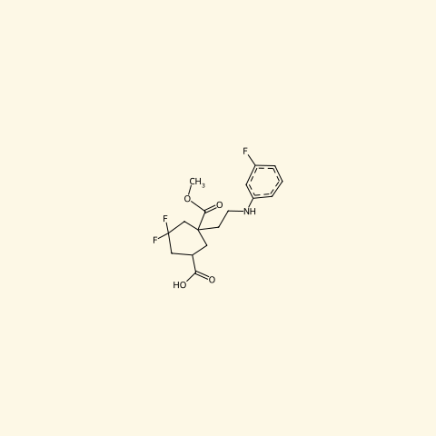 COC(=O)C1(CCNc2cccc(F)c2)CC(C(=O)O)CC(F)(F)C1